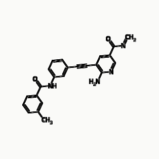 C=NC(=O)c1cnc(N)c(C#Cc2cccc(NC(=O)c3cccc(C)c3)c2)c1